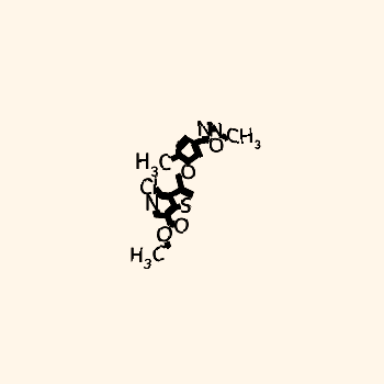 CCOC(=O)c1cnc(Cl)c2c(COc3cc(-c4nnc(C)o4)ccc3C)csc12